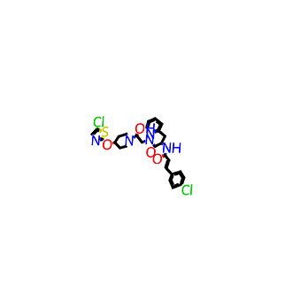 O=C(/C=C/c1ccc(Cl)cc1)NC(Cc1ccccn1)C(=O)NCC(=O)N1CCC(Oc2ncc(Cl)s2)CC1